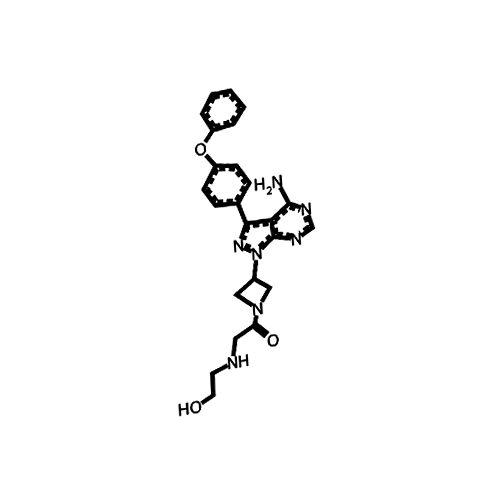 Nc1ncnc2c1c(-c1ccc(Oc3ccccc3)cc1)nn2C1CN(C(=O)CNCCO)C1